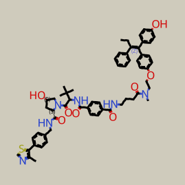 CC/C(=C(\c1ccc(O)cc1)c1ccc(OCCN(C)C(=O)CCCNC(=O)c2ccc(C(=O)NC(C(=O)N3C[C@H](O)C[C@H]3C(=O)NCc3ccc(-c4scnc4C)cc3)C(C)(C)C)cc2)cc1)c1ccccc1